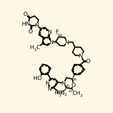 Cc1cn([C@@H]2CCN(CC3CCN(C(=O)c4ccc([C@@H]5CN(c6cc(-c7ccccc7O)nnc6N)[C@H](C)[C@H](C)O5)cc4)CC3)C[C@H]2F)c2ncc(N3CCC(=O)NC3=O)cc12